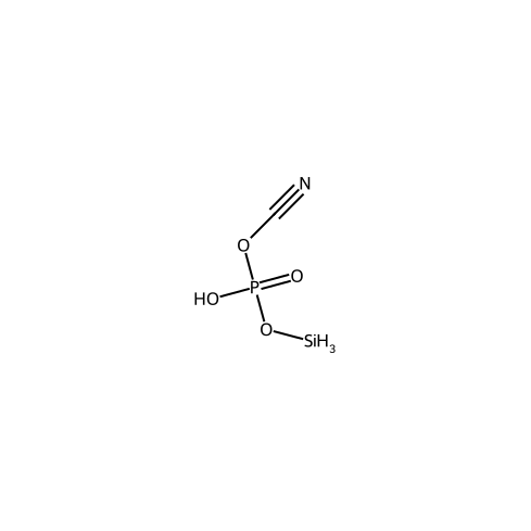 N#COP(=O)(O)O[SiH3]